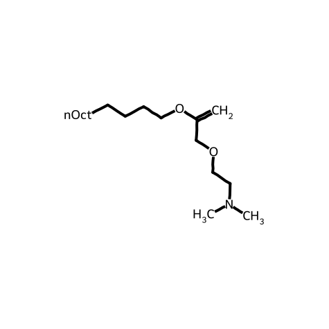 C=C(COCCN(C)C)OCCCCCCCCCCCC